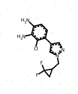 Nc1ccc(-c2cnn(CC3CC3(F)F)c2)c(Cl)c1N